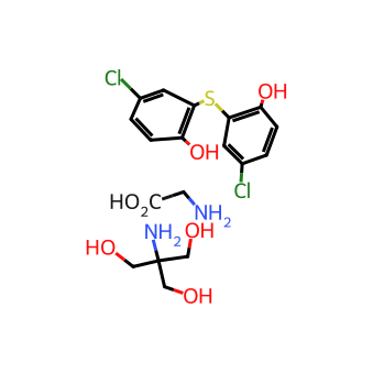 NC(CO)(CO)CO.NCC(=O)O.Oc1ccc(Cl)cc1Sc1cc(Cl)ccc1O